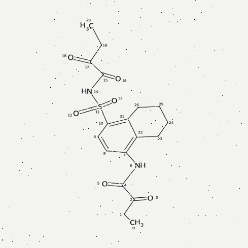 CCC(=O)C(=O)Nc1ccc(S(=O)(=O)NC(=O)C(=O)CC)c2c1CCCC2